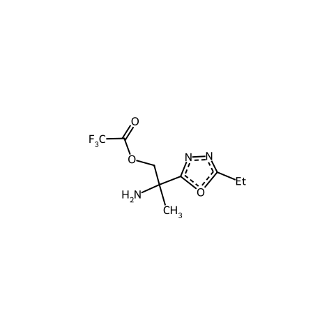 CCc1nnc(C(C)(N)COC(=O)C(F)(F)F)o1